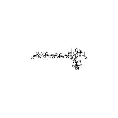 BC(C)(C)C(O)OCC(C)(COC(=O)C(C)(C)Br)C(=O)OCCOCCOCCOCCOCC#C